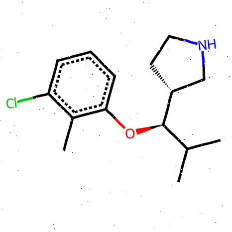 Cc1c(Cl)cccc1O[C@H](C(C)C)[C@@H]1CCNC1